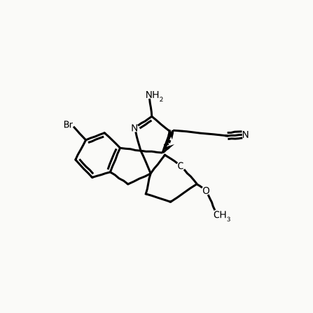 COC1CCC2(CC1)Cc1ccc(Br)cc1C21N=C(N)c2cc(C#N)ccc21